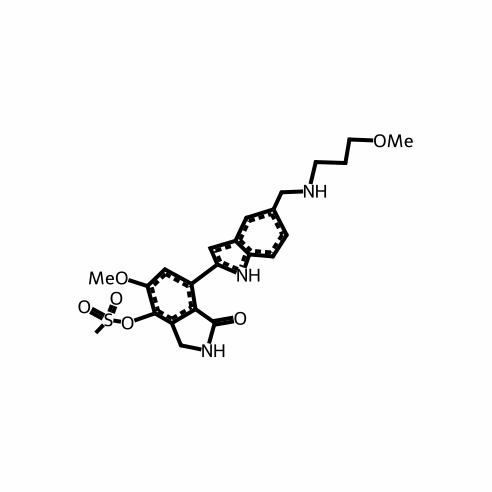 COCCCNCc1ccc2[nH]c(-c3cc(OC)c(OS(C)(=O)=O)c4c3C(=O)NC4)cc2c1